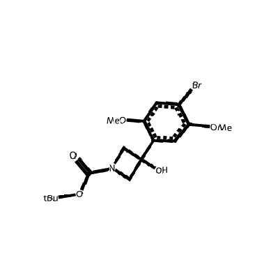 COc1cc(C2(O)CN(C(=O)OC(C)(C)C)C2)c(OC)cc1Br